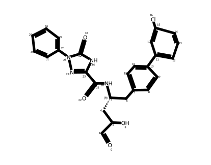 O=CC(O)C[C@@H](Cc1ccc(-c2cccc(Cl)c2)cc1)NC(=O)c1nn(-c2ccccc2)c(=O)[nH]1